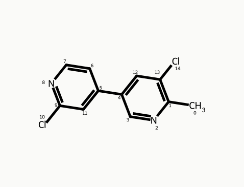 Cc1ncc(-c2ccnc(Cl)c2)cc1Cl